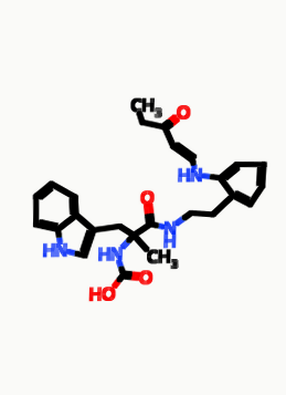 CCC(=O)C=CNc1ccccc1CCNC(=O)C(C)(Cc1c[nH]c2ccccc12)NC(=O)O